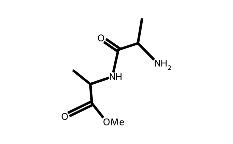 COC(=O)C(C)NC(=O)C(C)N